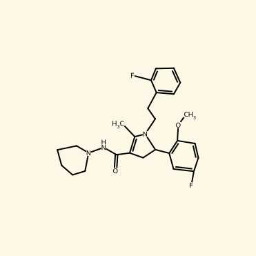 COc1ccc(F)cc1C1CC(C(=O)NN2CCCCC2)=C(C)N1CCc1ccccc1F